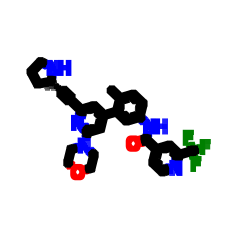 Cc1ccc(NC(=O)c2ccnc(C(F)(F)F)c2)cc1-c1cc(C#C[C@@H]2CCCN2)nc(N2CCOCC2)c1